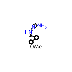 COc1cccc(-c2ccccc2C2CC2NCCN2CCC(N)C2)c1